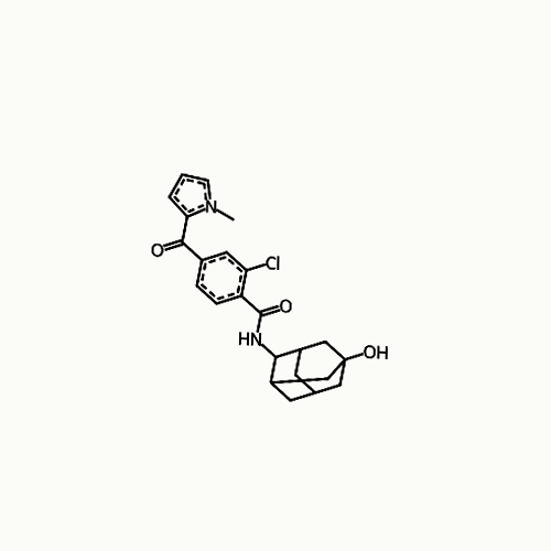 Cn1cccc1C(=O)c1ccc(C(=O)NC2C3CC4CC2CC(O)(C4)C3)c(Cl)c1